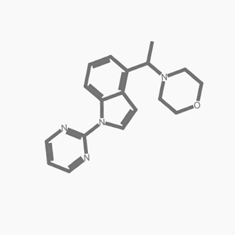 CC(c1cccc2c1ccn2-c1ncccn1)N1CCOCC1